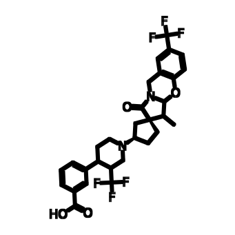 CC1C2Oc3ccc(C(F)(F)F)cc3CN2C(=O)[C@]12CC[C@@H](N1CCC(c3cccc(C(=O)O)c3)C(C(F)(F)F)C1)C2